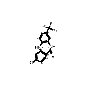 O=C1Nc2cc(C(F)(F)F)ccc2Nc2cc(Cl)ccc21